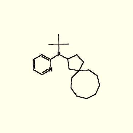 CC(C)(C)P(c1ccccn1)C1CCC2(CCCCCCCC2)C1